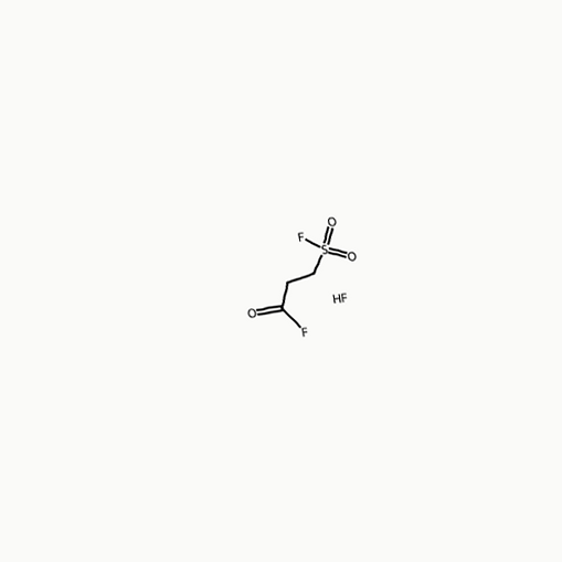 F.O=C(F)CCS(=O)(=O)F